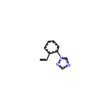 C=Cc1ccccc1-n1cncn1